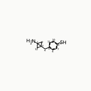 NC12CC1(Cc1ccc(S)cc1)C2